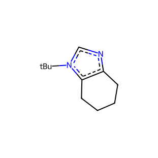 CC(C)(C)n1cnc2c1CCCC2